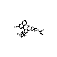 C=CC(=O)N1CC2(CCN(c3nc4c(c(-c5cc(O)cc6cccnc56)c3C#N)C[C@H]3C[C@@H]4C3(C)C)C2)C1